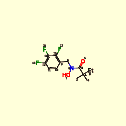 CCC(C)(C)C(=O)N(O)Cc1ccc(F)c(F)c1F